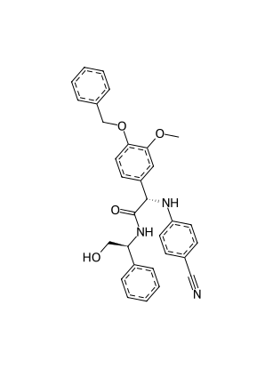 COc1cc([C@H](Nc2ccc(C#N)cc2)C(=O)N[C@H](CO)c2ccccc2)ccc1OCc1ccccc1